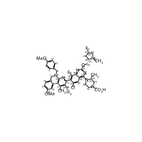 COc1ccc(CN(Cc2ccc(OC)cc2)c2cc(C)c(C)c(-c3c(Cl)cc4c(N5CCN(C(=O)O)C[C@@H]5C)nc(OC[C@@H]5C[C@@H](F)CN5C)nc4c3F)n2)cc1